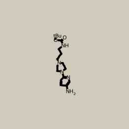 CC(C)(C)OC(=O)NCCCN1CCN(c2ccc(N)cn2)CC1